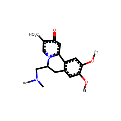 CCOc1cc2c(cc1OCC)-c1cc(=O)c(C(=O)O)cn1C(CN(C)C(C)=O)C2